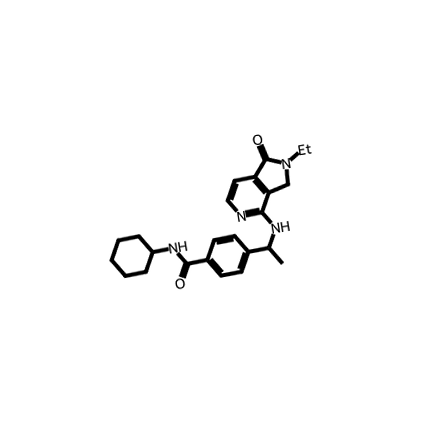 CCN1Cc2c(ccnc2NC(C)c2ccc(C(=O)NC3CCCCC3)cc2)C1=O